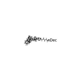 CCCCCCCCCCCCCCCCOC[C@@H]1C[C@H](COC(=O)N(Cc2ccccn2)C(C)=O)O1